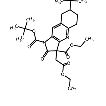 CCOC(=O)CC1(C(=O)OCC)C(=O)N(C(=O)OC(C)(C)C)c2cc3c(nc21)CCC(C(C)(C)C)C3